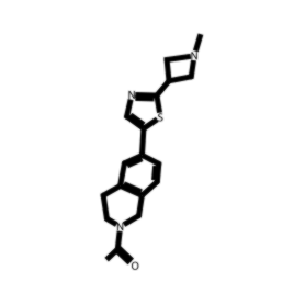 CC(=O)N1CCc2cc(-c3cnc(C4CN(C)C4)s3)ccc2C1